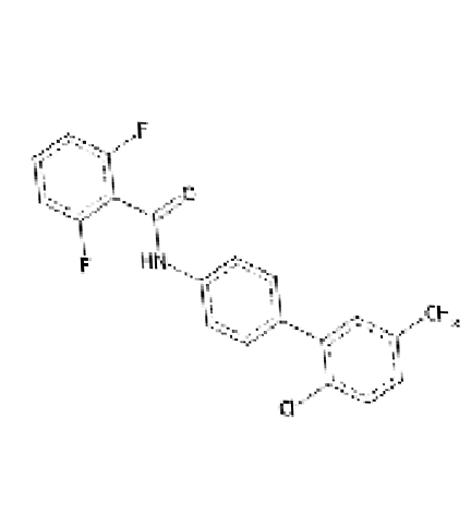 Cc1ccc(Cl)c(-c2ccc(NC(=O)c3c(F)cccc3F)cc2)c1